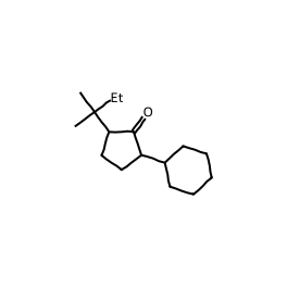 CCC(C)(C)C1CCC(C2CCCCC2)C1=O